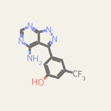 Nc1ncnc2c1C(c1cc(O)cc(C(F)(F)F)c1)=N[N]2